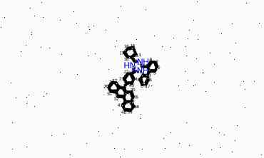 c1ccc(-c2ccccc2C2NC(c3ccccc3)NC(c3ccc(-c4c5ccccc5cc5c4ccc4ccccc45)cc3)N2)cc1